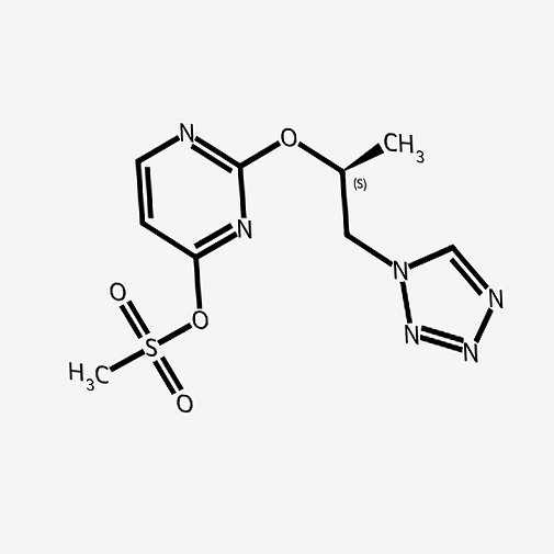 C[C@@H](Cn1cnnn1)Oc1nccc(OS(C)(=O)=O)n1